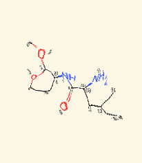 COC1OCC[C@@H]1NC(=O)[C@@H](N)CC(C)C